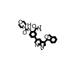 CN(C)C(=O)c1cc(-c2cnc3c(c2)c(C2OCc4ccccc42)cn3C)ccc1NC(=O)N1CCOCC1